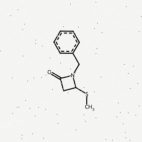 CSC1CC(=O)N1Cc1ccccc1